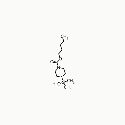 CCCCCOC(=O)N1CCN([Si](C)(C)C)CC1